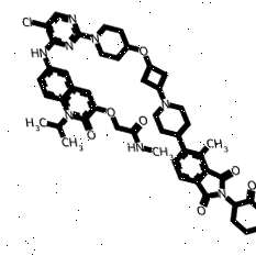 CNC(=O)COc1cc2cc(Nc3nc(N4CCC(OC5CC(N6CCC(c7ccc8c(c7C)C(=O)N(C7CCC(=O)NC7=O)C8=O)CC6)C5)CC4)ncc3Cl)ccc2n(C(C)C)c1=O